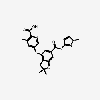 Cn1ccc(NC(=O)c2cc(Oc3cnc(C(=O)O)c(F)c3)c3c(c2)OC(C)(C)C3)n1